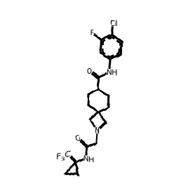 O=C(CN1CC2(CCC(C(=O)Nc3ccc(Cl)c(F)c3)CC2)C1)NC1(C(F)(F)F)CC1